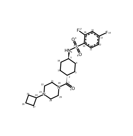 O=C([C@H]1CC[C@H](NS(=O)(=O)c2ccc(F)cc2F)CC1)N1CCN(C2CCC2)CC1